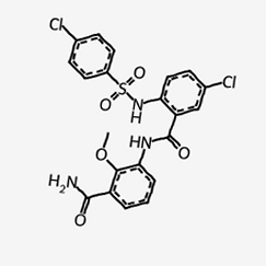 COc1c(NC(=O)c2cc(Cl)ccc2NS(=O)(=O)c2ccc(Cl)cc2)cccc1C(N)=O